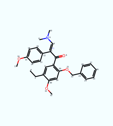 CCc1cc(C(=O)/C(=C/N(C)C)c2ccc(OC)cc2)c(OCc2ccccc2)cc1OC